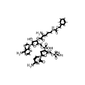 Nc1ccn([C@H]2C[C@H](P(=O)(O)OC[C@H]3O[C@@H](n4cnc5c(N)ncnc54)[C@H](O)[C@@H]3OC(=O)[C@@H](N)CCCNC(=O)OCc3ccccc3)[C@@H](COP(=O)(O)O)O2)c(=O)n1